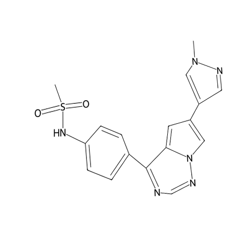 Cn1cc(-c2cc3c(-c4ccc(NS(C)(=O)=O)cc4)ncnn3c2)cn1